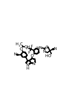 CC(C)Oc1ccc(-c2c[nH]c3nccc(Oc4ccc(NC5=NCC(C#N)(CO)CO5)cc4C(F)(F)F)c23)cc1C#N